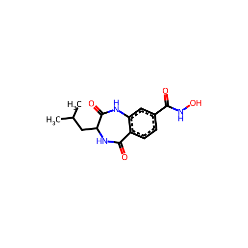 CC(C)CC1NC(=O)c2ccc(C(=O)NO)cc2NC1=O